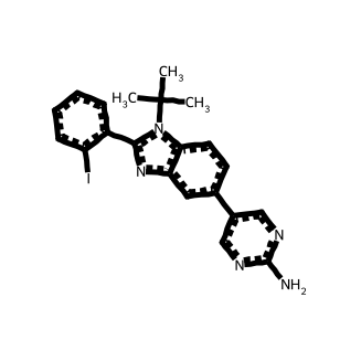 CC(C)(C)n1c(-c2ccccc2I)nc2cc(-c3cnc(N)nc3)ccc21